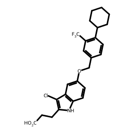 O=C(O)CCc1[nH]c2ccc(OCc3ccc(C4CCCCC4)c(C(F)(F)F)c3)cc2c1Cl